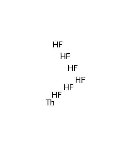 F.F.F.F.F.F.[Th]